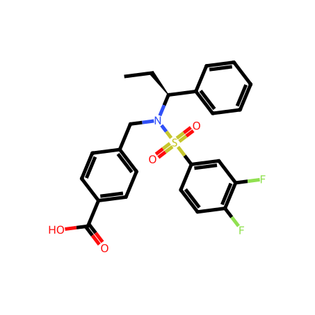 CC[C@@H](c1ccccc1)N(Cc1ccc(C(=O)O)cc1)S(=O)(=O)c1ccc(F)c(F)c1